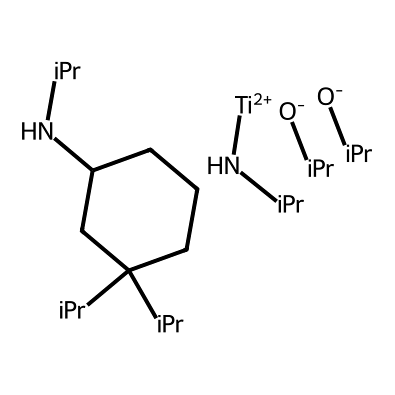 CC(C)NC1CCCC(C(C)C)(C(C)C)C1.CC(C)[NH][Ti+2].CC(C)[O-].CC(C)[O-]